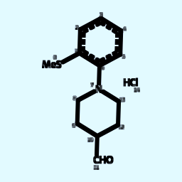 CSc1ccccc1N1CCC(C=O)CC1.Cl